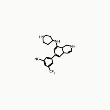 N#Cc1cc(C2=CC3C=CNCC3C(NC3CCNCC3)=C2)cc(C(F)(F)F)c1